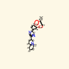 c1cc2c(cc1C1CN3CCN1CC3C1CCC3CCCCN3C1)OCCO2